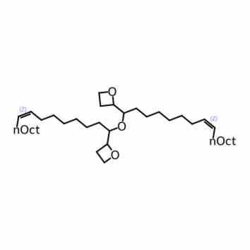 CCCCCCCC/C=C\CCCCCCC(OC(CCCCCC/C=C\CCCCCCCC)C1CCO1)C1CCO1